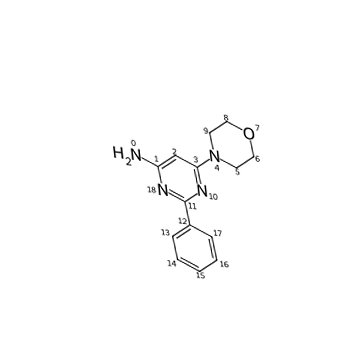 Nc1cc(N2CCOCC2)nc(-c2ccccc2)n1